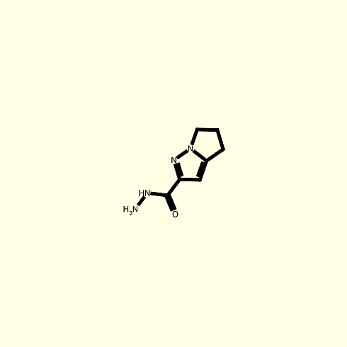 NNC(=O)c1cc2n(n1)CCC2